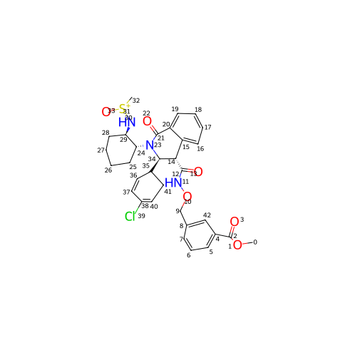 COC(=O)c1cccc(CONC(=O)[C@H]2c3ccccc3C(=O)N([C@@H]3CCCC[C@H]3N[S+](C)[O-])[C@@H]2C2C=CC(Cl)=CC2)c1